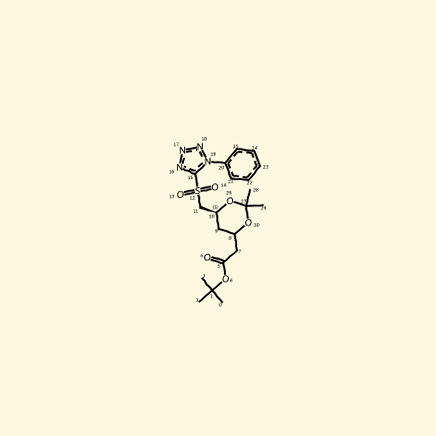 CC(C)(C)OC(=O)CC1C[C@@H](CS(=O)(=O)c2nnnn2-c2ccccc2)OC(C)(C)O1